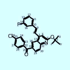 CC(C)(C)Oc1cc(C=Cc2cccc(F)c2)c2cc(C(=O)c3ccc(Cl)cc3)ccc2n1